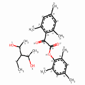 CCC(C(C)O)C(C)O.Cc1cc(C)c(OC(=O)C(=O)c2c(C)cc(C)cc2C)c(C)c1